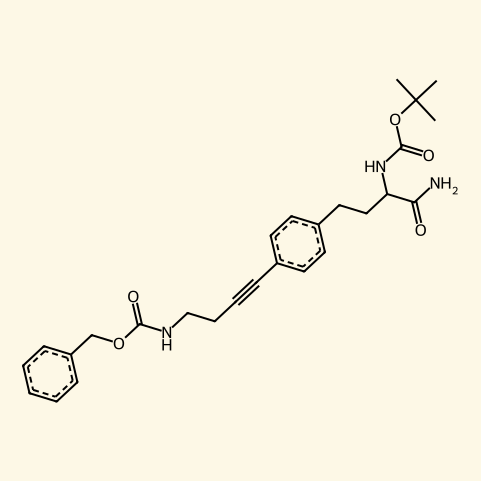 CC(C)(C)OC(=O)NC(CCc1ccc(C#CCCNC(=O)OCc2ccccc2)cc1)C(N)=O